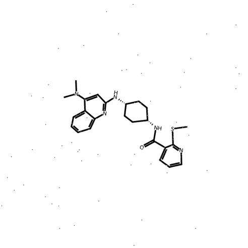 CSc1ncccc1C(=O)N[C@H]1CC[C@@H](Nc2cc(N(C)C)c3ccccc3n2)CC1